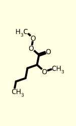 CCCCC(OC)C(=O)OOC